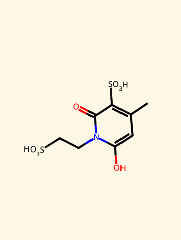 Cc1cc(O)n(CCS(=O)(=O)O)c(=O)c1S(=O)(=O)O